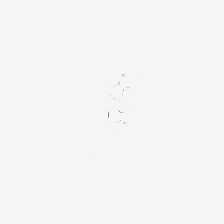 CCCCc1ccc(-c2ccc(CC)cc2)c(F)c1